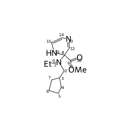 CCN(CC1CCCC1)C1(C(=O)OC)C=NC=CN1